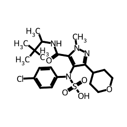 CC(NC(=O)c1c(N(c2ccc(Cl)cc2)S(=O)(=O)O)c(C2CCOCC2)nn1C)C(C)(C)C